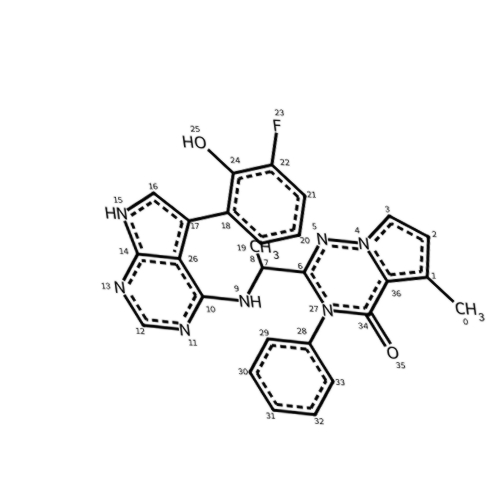 Cc1ccn2nc(C(C)Nc3ncnc4[nH]cc(-c5cccc(F)c5O)c34)n(-c3ccccc3)c(=O)c12